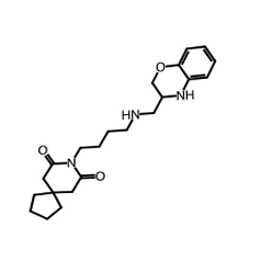 O=C1CC2(CCCC2)CC(=O)N1CCCCNCC1COc2ccccc2N1